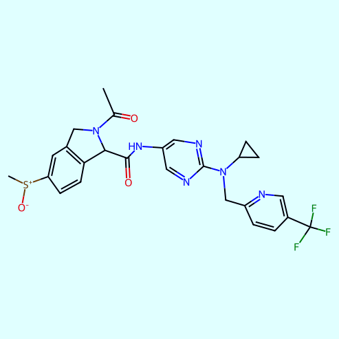 CC(=O)N1Cc2cc([S+](C)[O-])ccc2C1C(=O)Nc1cnc(N(Cc2ccc(C(F)(F)F)cn2)C2CC2)nc1